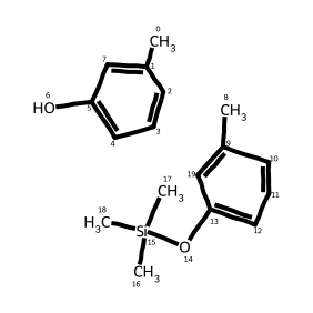 Cc1cccc(O)c1.Cc1cccc(O[Si](C)(C)C)c1